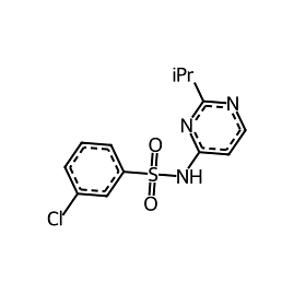 CC(C)c1nccc(NS(=O)(=O)c2cccc(Cl)c2)n1